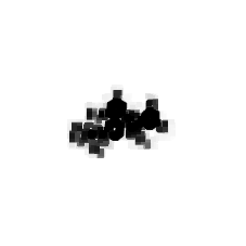 Cc1cc(F)ccc1[C@H]1CN(C(=O)OC(C)(C)C)CC[C@@H]1N(C)C(=O)C(C)(C)c1cc(Cl)cc(Cl)c1